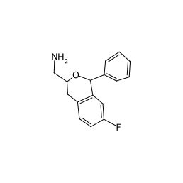 NCC1Cc2ccc(F)cc2C(c2ccccc2)O1